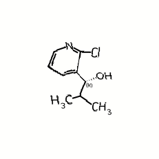 CC(C)[C@@H](O)c1cccnc1Cl